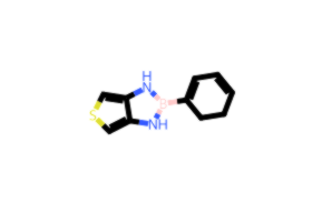 C1=CCCC(B2Nc3cscc3N2)=C1